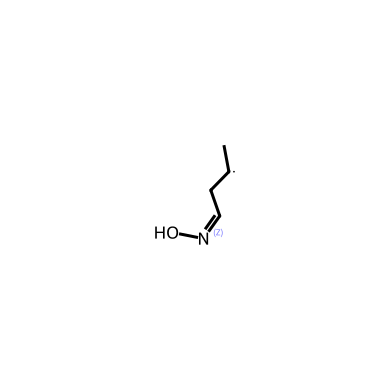 C[CH]C/C=N\O